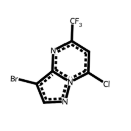 FC(F)(F)c1cc(Cl)n2ncc(Br)c2n1